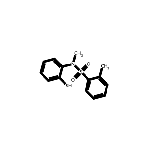 Cc1ccccc1S(=O)(=O)N(C)c1ccccc1S